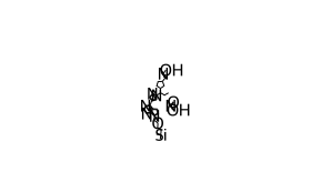 CCC(C1CCC(/C=N/O)C1)n1cc(-c2ncnc3c2ccn3COCC[Si](C)(C)C)cn1.O=NO